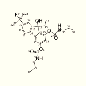 CCCNC(=O)Oc1ccc(C(O)(CC)c2cccc(C(F)(F)F)c2)c(OC(=O)NCCC)c1